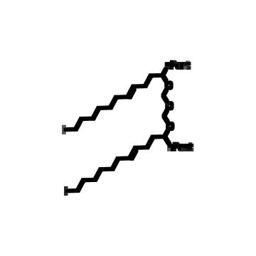 CCCCCC(CCC=CCCCCCCI)OCOCOC(CCC=CCCCCCCI)CCCCC